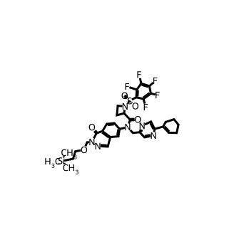 C[Si](C)(C)CCOCn1ncc2cc(N(Cc3cnc(C4=CCCCC4)cn3)C(=O)C3CCN3S(=O)(=O)c3c(F)c(F)c(F)c(F)c3F)ccc2c1=O